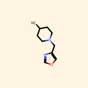 N#CC1CCN(Cc2cocn2)CC1